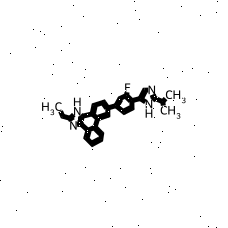 CCc1nc2c3ccccc3c3cc(-c4ccc(-c5cnc(C(C)C)[nH]5)c(F)c4)ccc3c2[nH]1